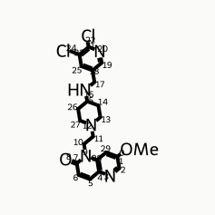 COc1cnc2ccc(=O)n(CCN3CCC(NCc4cnc(Cl)c(Cl)c4)CC3)c2c1